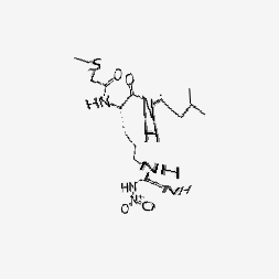 CSCC(=O)N[C@@H](CCCNC(=N)N[N+](=O)[O-])C(=O)N[CH]CC(C)C